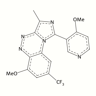 COc1ccncc1-c1nc(C)c2nnc3c(OC)cc(C(F)(F)F)cc3n12